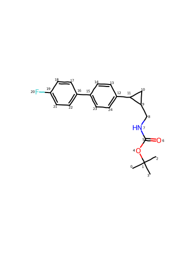 CC(C)(C)OC(=O)NCC1CC1c1ccc(-c2ccc(F)cc2)cc1